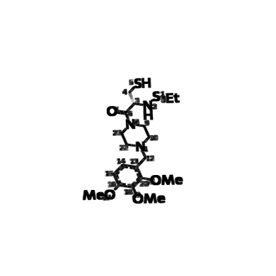 CCSN[C@@H](CS)C(=O)N1CCN(Cc2ccc(OC)c(OC)c2OC)CC1